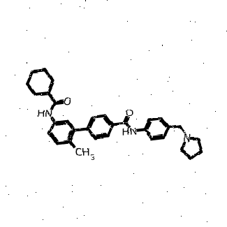 Cc1ccc(NC(=O)C2CCCCC2)cc1-c1ccc(C(=O)Nc2ccc(CN3CCCC3)cc2)cc1